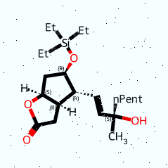 CCCCC[C@](C)(O)C=C[C@@H]1[C@H]2CC(=O)O[C@H]2C[C@H]1O[Si](CC)(CC)CC